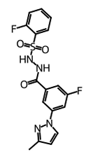 Cc1ccn(-c2cc(F)cc(C(=O)NNS(=O)(=O)c3ccccc3F)c2)n1